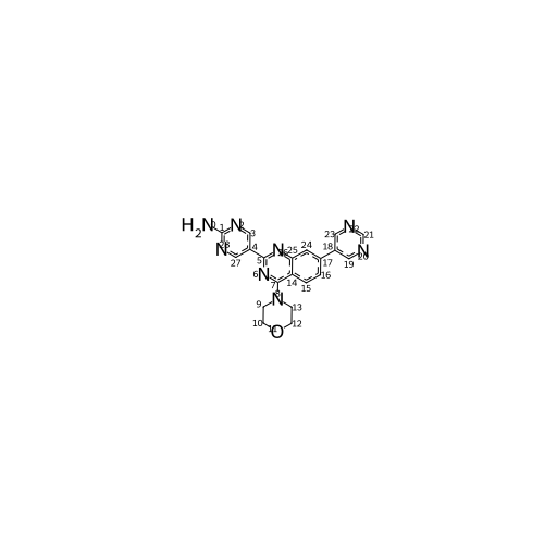 Nc1ncc(-c2nc(N3CCOCC3)c3ccc(-c4cncnc4)cc3n2)cn1